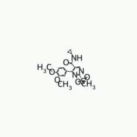 COc1ccc(-c2nc(S(C)(=O)=O)ncc2C(=O)NC2CC2)cc1OC